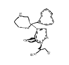 CCC(CC)n1ncn(C2(c3ccccc3)CNCC[N]2)c1=O